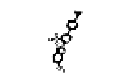 CCS(=O)(=O)c1cc(-c2ccc(C3CC3)cc2)cnc1-n1cc2ccc(C(F)(F)F)cc2n1